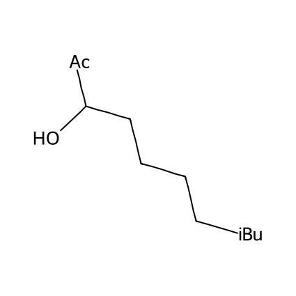 CCC(C)CCCCC(O)C(C)=O